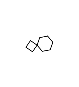 [CH]1CCCC2(C1)CCC2